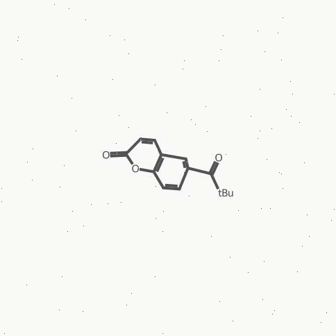 CC(C)(C)C(=O)c1ccc2oc(=O)ccc2c1